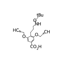 C#CCOc1cc(C(=O)O)cc(OCC#C)c1CCCNOCC(C)(C)C